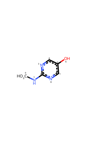 O=C(O)Nc1ncc(O)cn1